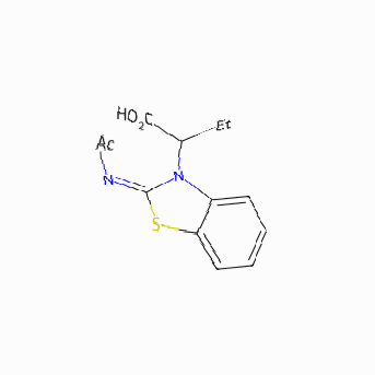 CCC(C(=O)O)n1c(=NC(C)=O)sc2ccccc21